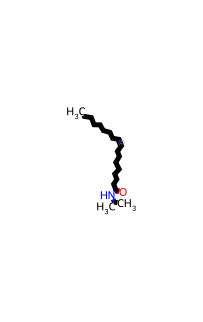 CCCCCCCC/C=C\CCCCCCCC(=O)NC(C)C